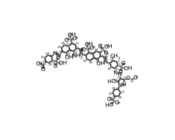 Cc1cc(S(=O)(=O)O)c(/N=N/c2c(OC=O)nn(-c3ccc(S(=O)(=O)O)cc3)c2O)cc1N=Nc1c(S(=O)(=O)O)cc2c(S(=O)(=O)O)c(N=Nc3cc(S(=O)(=O)O)c4ccc(N=Nc5ccc([N+](=O)[O-])cc5S(=O)(=O)O)c(O)c4c3N)ccc2c1O